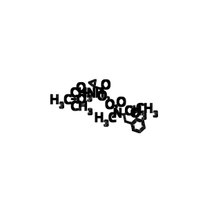 COc1ccccc1CC(C)N(C)C(=O)OCOC(=O)C1(NC(=O)OC(C)(C)C)CC1